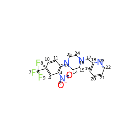 O=[N+]([O-])c1cc(C(F)(F)F)ccc1N1CCN(Cc2ccccn2)CC1